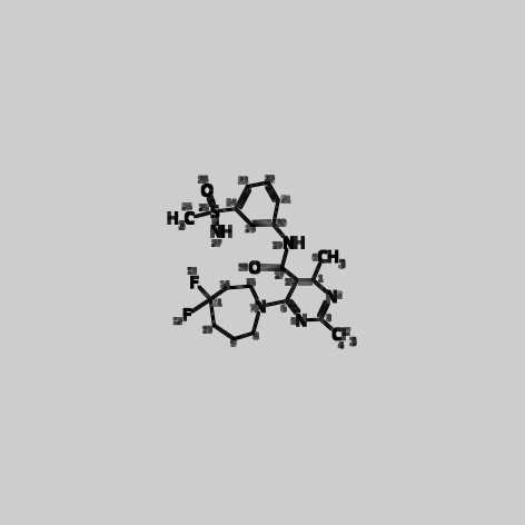 Cc1nc(C(F)(F)F)nc(N2CCCC(F)(F)CC2)c1C(=O)Nc1cccc(S(C)(=N)=O)c1